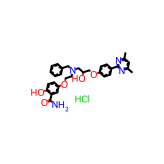 Cc1cc(C)nc(-c2ccc(OCC(O)CN(CCOc3ccc(O)c(C(N)=O)c3)Cc3ccccc3)cc2)n1.Cl